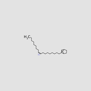 CCCCCCCC/C=C\CCCCCCCCC1=CC2CCC1C2